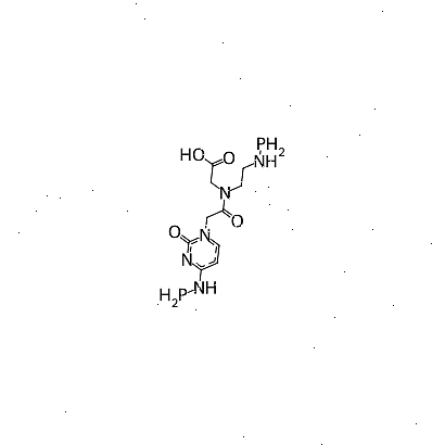 O=C(O)CN(CCNP)C(=O)Cn1ccc(NP)nc1=O